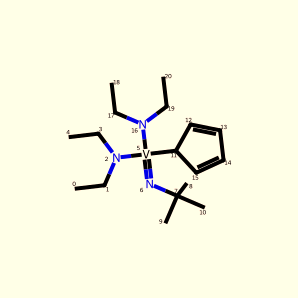 CC[N](CC)[V](=[N]C(C)(C)C)([CH]1C=CC=C1)[N](CC)CC